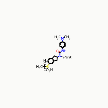 CCCCCN(C(=O)Nc1ccc(N(C)C)cc1)C1Cc2ccc(SC(C)(C)C(=O)O)cc2C1